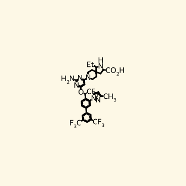 CCC1NC(C(=O)O)CC12CCN(c1cc(O[C@H](c3ccc(-c4cc(C(F)(F)F)cc(C(F)(F)F)c4)cc3-n3ccc(C)n3)C(F)(F)F)nc(N)n1)CC2